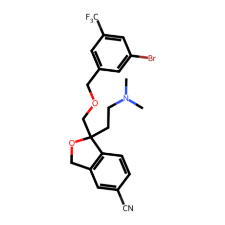 CN(C)CCC1(COCc2cc(Br)cc(C(F)(F)F)c2)OCc2cc(C#N)ccc21